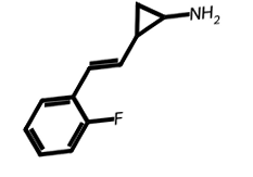 NC1CC1/C=C/c1ccccc1F